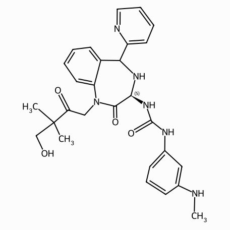 CNc1cccc(NC(=O)N[C@@H]2NC(c3ccccn3)c3ccccc3N(CC(=O)C(C)(C)CO)C2=O)c1